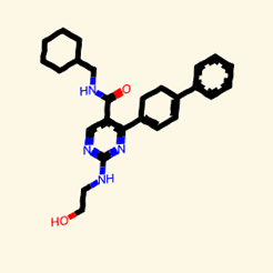 O=C(NCC1CCCCC1)c1cnc(NCCO)nc1C1=CC=C(c2ccccc2)CC1